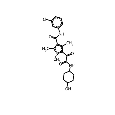 Cc1c(C(=O)Nc2cccc(Cl)c2)c(C)n(C)c1C(=O)C(=O)NC1CCC(O)CC1